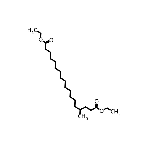 CCOC(=O)CCCCCCCCCCCCCC(C)CCC(=O)OCC